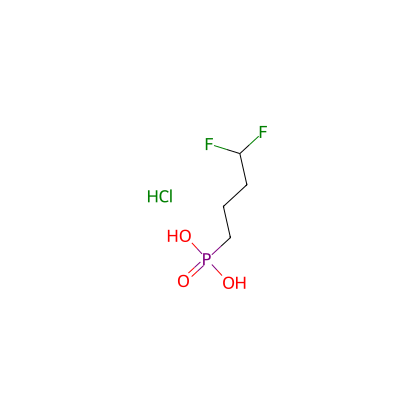 Cl.O=P(O)(O)CCCC(F)F